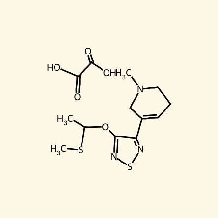 CSC(C)Oc1nsnc1C1=CCCN(C)C1.O=C(O)C(=O)O